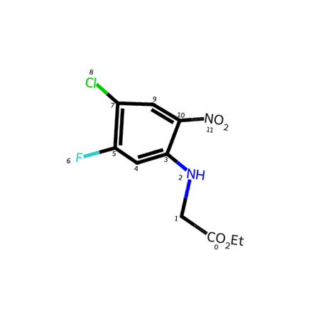 CCOC(=O)CNc1cc(F)c(Cl)cc1[N+](=O)[O-]